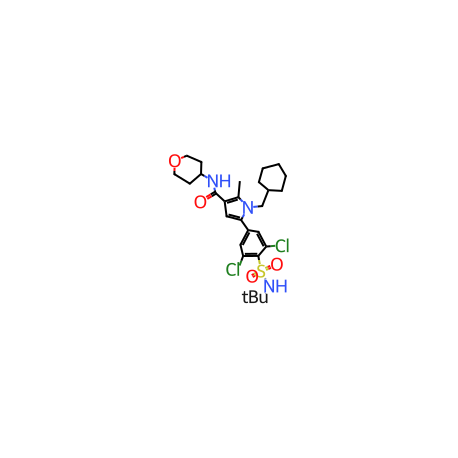 Cc1c(C(=O)NC2CCOCC2)cc(-c2cc(Cl)c(S(=O)(=O)NC(C)(C)C)c(Cl)c2)n1CC1CCCCC1